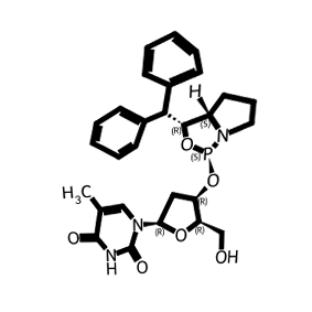 Cc1cn([C@H]2C[C@@H](O[P@@]3O[C@H](C(c4ccccc4)c4ccccc4)[C@@H]4CCCN43)[C@@H](CO)O2)c(=O)[nH]c1=O